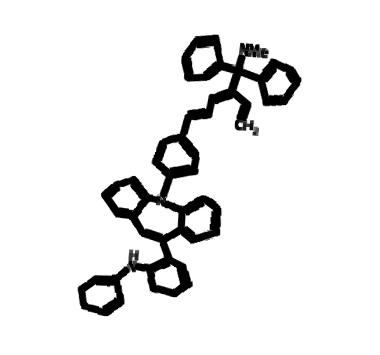 C=C/C(=C\C=Cc1ccc(N2c3ccccc3C=C(C3=C(NC4=CCCC=C4)CCC=C3)c3ccccc32)cc1)C(NC)(c1ccccc1)c1ccccc1